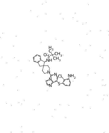 CC(C)(C)[S@@+]([O-])N[C@@H]1c2ccccc2CC12CCN(c1ncc(Sc3cccc(N)c3Cl)c3nccn13)CC2